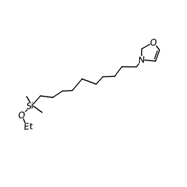 CCO[Si](C)(C)CCCCCCCCCCN1C=COC1